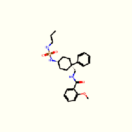 CCCNS(=O)(=O)N[C@H]1CC[C@@](CNC(=O)c2ccccc2OC)(c2ccccc2)CC1